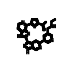 CCNCc1cncc(-c2cc3c(-c4nc5c(-c6ccc(C(C)=O)s6)nccc5[nH]4)n[nH]c3cn2)c1